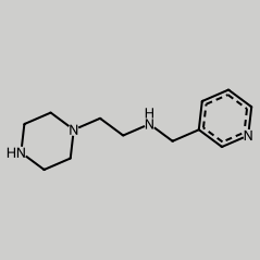 c1cncc(CNCCN2CCNCC2)c1